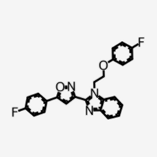 Fc1ccc(OCCn2c(-c3cc(-c4ccc(F)cc4)on3)nc3ccccc32)cc1